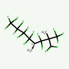 C[C@@H](C(F)(F)C(F)(F)C(F)(F)C(F)(F)F)C(F)(F)C(C)(C(F)F)C(F)(F)F